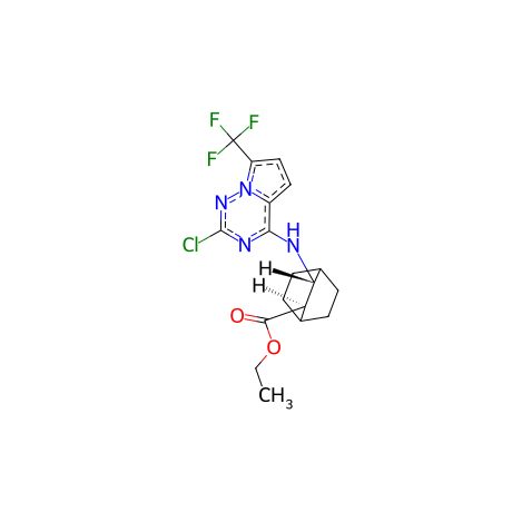 CCOC(=O)[C@@H]1C2CCC(CC2)[C@H]1Nc1nc(Cl)nn2c(C(F)(F)F)ccc12